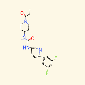 CCC(=O)N1CCC(N(C)C(=O)Nc2ccc(-c3cc(F)cc(F)c3)nc2)CC1